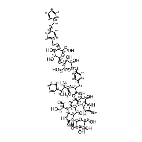 CC(c1ccccc1)C(N)C(=O)NC(Cc1ccc(OC2OC(CO)C(OC3OC(CO)C(OCc4ccc(OCc5ccccc5)cc4)C(O)C3O)C(O)C2O)cc1)C(=O)NC(C(=O)NC(C(=O)NC([C]=O)CO)C(O)C1CNC(=N)N1C1OC(CO)C(O)C(O)C1O)C(O)C1CNC(=N)N1